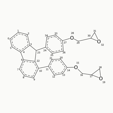 c1ccc2c(c1)-c1cccc(-c3ccc(OCC4CO4)cc3)c1C2c1ccc(OCC2CO2)cc1